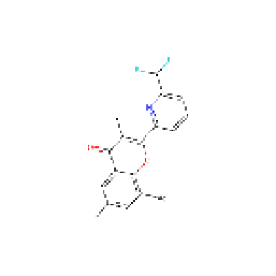 CC(=O)c1cc(C)cc2c(=O)c(C)c(-c3cccc(C(F)F)n3)oc12